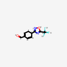 O=CC1=CCC(c2noc(C(F)(F)F)n2)C=C1